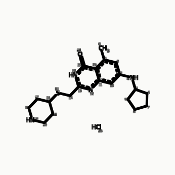 Cc1cc(NC2CCCC2)cc2nc(CSC3CCNCC3)[nH]c(=O)c12.Cl